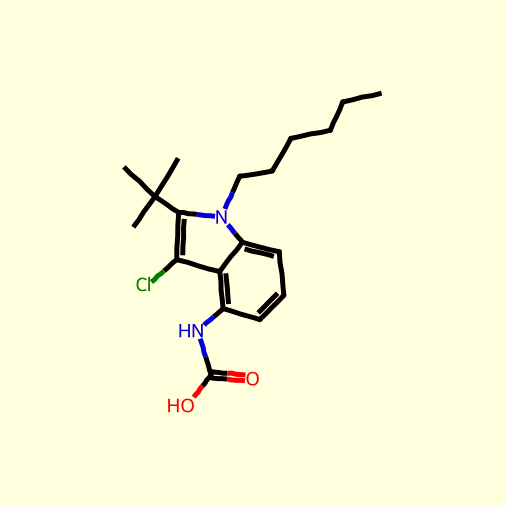 CCCCCCn1c(C(C)(C)C)c(Cl)c2c(NC(=O)O)cccc21